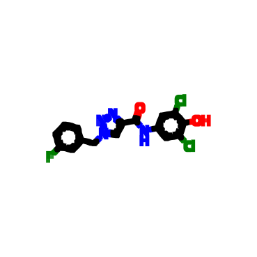 O=C(Nc1cc(Cl)c(O)c(Cl)c1)c1cn(Cc2cccc(F)c2)nn1